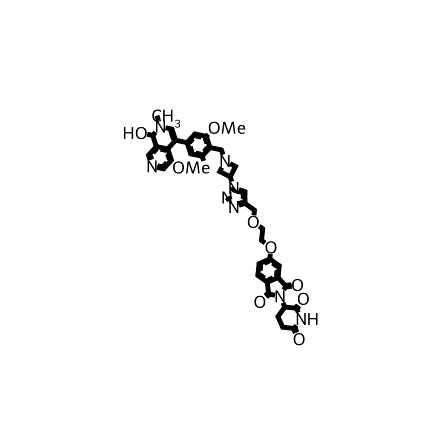 COc1cc(C2=CN(C)C(O)c3cnccc32)cc(OC)c1CN1CC(n2cc(COCCOc3ccc4c(c3)C(=O)N(C3CCC(=O)NC3=O)C4=O)nn2)C1